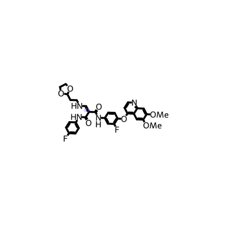 COc1cc2nccc(Oc3ccc(NC(=O)/C(=C/NCCC4OCCO4)C(=O)Nc4ccc(F)cc4)cc3F)c2cc1OC